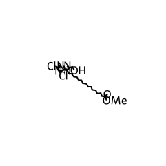 COC(=O)CCCCCCCCCCCCCCCn1c(CO)nc2nc(Cl)nc(Cl)c21